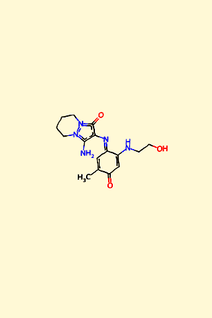 CC1=C/C(=N\c2c(N)n3n(c2=O)CCCC3)C(NCCO)=CC1=O